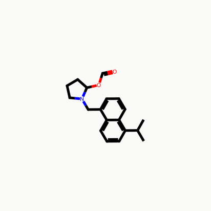 CC(C)c1cccc2c(CN3CCCC3OC=O)cccc12